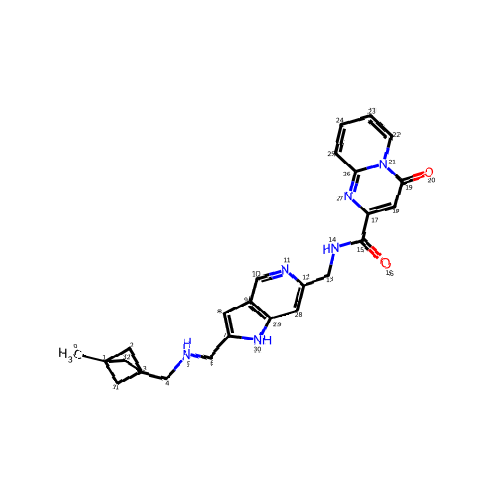 CC12CC(CNCc3cc4cnc(CNC(=O)c5cc(=O)n6ccccc6n5)cc4[nH]3)(C1)C2